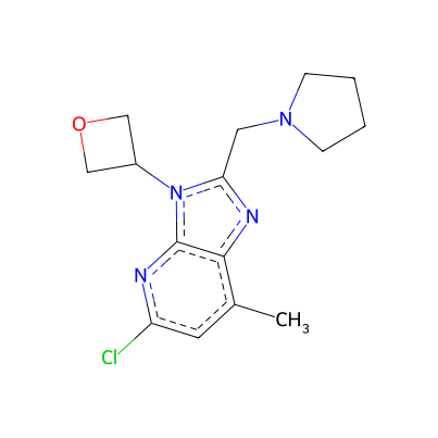 Cc1cc(Cl)nc2c1nc(CN1CCCC1)n2C1COC1